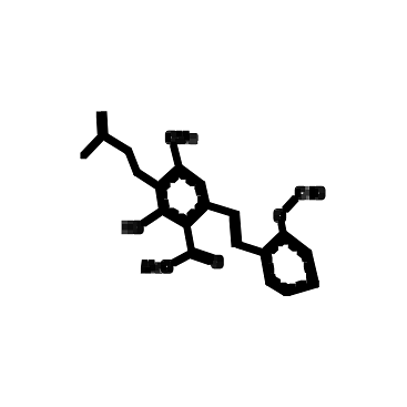 C=C(C)CCc1c(OC)cc(C=Cc2ccccc2OC=O)c(C(=O)OC)c1O